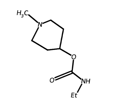 CCNC(=O)OC1CCN(C)CC1